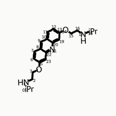 CC(C)NCCOc1ccc2cc3ccc(OCCNC(C)C)cc3nc2c1